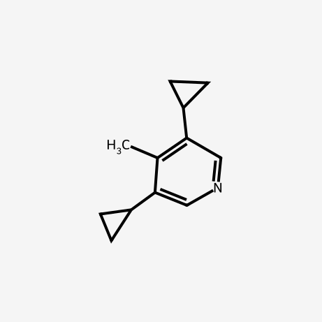 Cc1c(C2CC2)cncc1C1CC1